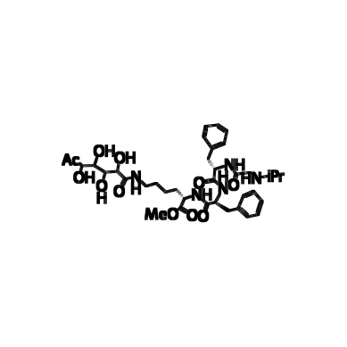 COC(=O)[C@H](CCCCNC(=O)C(O)C(O)C(O)C(O)C(C)=O)NC(=O)[C@H](Cc1ccccc1)NC(=O)[C@H](Cc1ccccc1)NC(=O)CNC(C)C